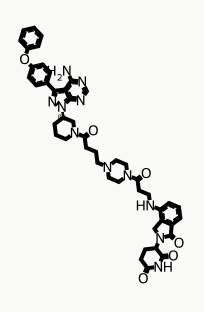 Nc1ncnc2c1c(-c1ccc(Oc3ccccc3)cc1)nn2[C@@H]1CCCN(C(=O)CCCN2CCN(C(=O)CCNc3cccc4c3CN(C3CCC(=O)NC3=O)C4=O)CC2)C1